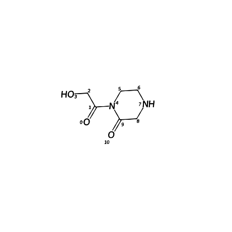 O=C(CO)N1CCNCC1=O